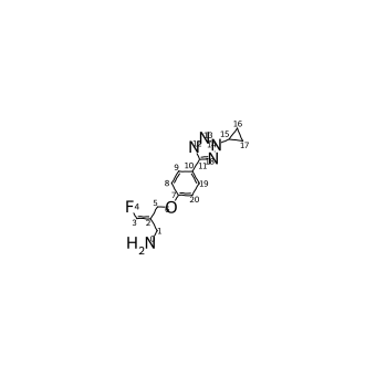 NC/C(=C/F)COc1ccc(-c2nnn(C3CC3)n2)cc1